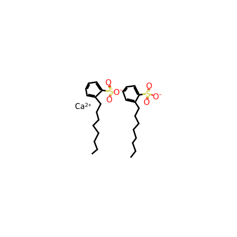 CCCCCCCCc1ccccc1S(=O)(=O)[O-].CCCCCCCCc1ccccc1S(=O)(=O)[O-].[Ca+2]